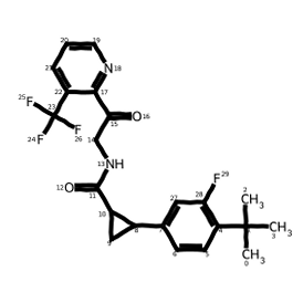 CC(C)(C)c1ccc(C2CC2C(=O)NCC(=O)c2ncccc2C(F)(F)F)cc1F